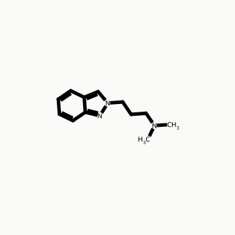 CN(C)CCCn1cc2c[c]ccc2n1